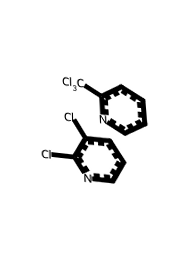 ClC(Cl)(Cl)c1ccccn1.Clc1cccnc1Cl